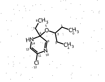 CCC(CC)OC1(CC)C=NC(Cl)=CN1